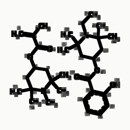 C=C(C)C(=O)OC1CC(C)(C)N(C)C(C)(C)C1.CCN1C(C)(C)CC(OC(=O)c2ccccc2O)CC1(C)C